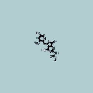 COC(=O)Nc1nc(O)c2c(n1)c(I)nn2Cc1ncc(Br)cc1OC